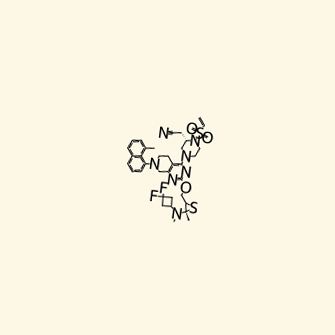 C=CS(=O)(=O)N1CCN(c2nc(OCC3S[C@]3(C)N(C)C3CC(F)(F)C3)nc3c2CCN(c2cccc4cccc(C)c24)C3)C[C@@H]1CC#N